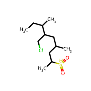 CCC(C)C(CCl)CC(C)CC(C)[SH](=O)=O